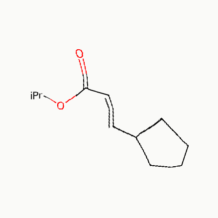 CC(C)OC(=O)C=CC1CCCC1